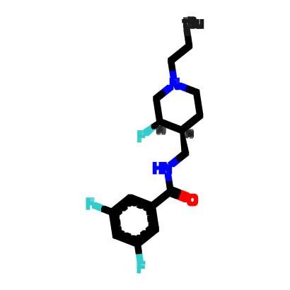 CC(C)(C)CCN1CC[C@@H](CNC(=O)c2cc(F)cc(F)c2)[C@@H](F)C1